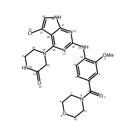 COc1cc(C(=O)N2CCOCC2)ccc1Nc1nc(N2CCNC(=O)C2)c2c(Cl)c[nH]c2n1